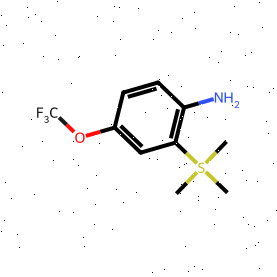 CS(C)(C)c1cc(OC(F)(F)F)ccc1N